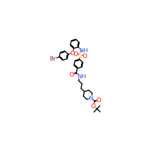 CC(C)(C)OC(=O)N1CCC(CCCNC(=O)c2ccc(S(=O)(=O)Nc3ccccc3Oc3ccc(Br)cc3)cc2)CC1